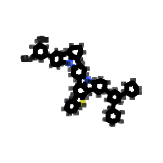 CC(C)(C)c1cc(-c2ccc3c(c2)c2cccc4c5cc6c(cc5n3c24)c2cc3c4ccccc4sc3c3c4cc(-c5cc(-c7ccccc7)cc(-c7ccccc7)c5)ccc4n6c23)cc(C(C)(C)C)c1